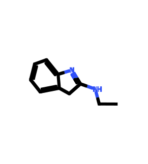 CCNC1=Nc2ccccc2C1